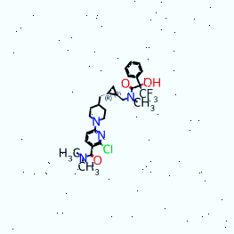 CN(C)C(=O)c1ccc(N2CCC(C[C@@H]3C[C@H]3CN(C)C(=O)C(O)(c3ccccc3)C(F)(F)F)CC2)nc1Cl